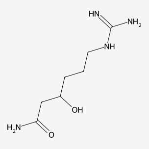 N=C(N)NCCCC(O)CC(N)=O